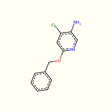 Nc1cnc(OCc2ccccc2)cc1Cl